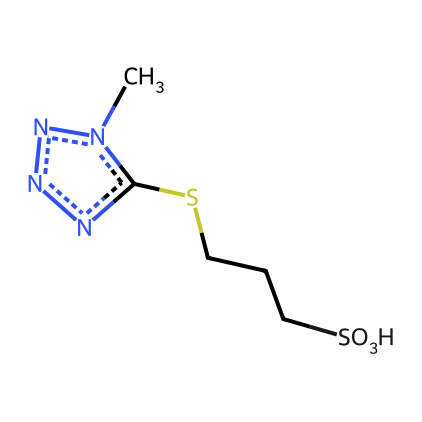 Cn1nnnc1SCCCS(=O)(=O)O